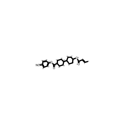 C/C=C/C(=O)OC1CCC(C2CCC(C(=O)Oc3ccc(C#N)cc3)CC2)CC1